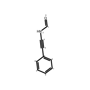 O=CNC#Cc1ccccc1